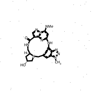 CNc1cc2nc3c(cnn13)C(=O)NC[C@@H]1C[C@@H](O)CN1Cc1cc(c3nnn(C)c3c1)N2